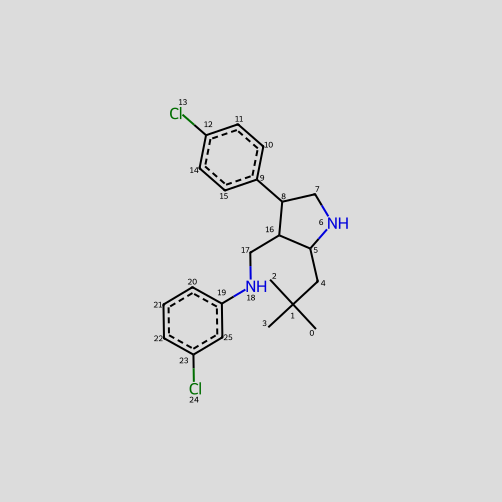 CC(C)(C)CC1NCC(c2ccc(Cl)cc2)C1CNc1cccc(Cl)c1